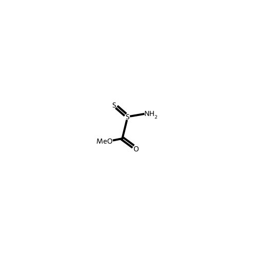 COC(=O)S(N)=S